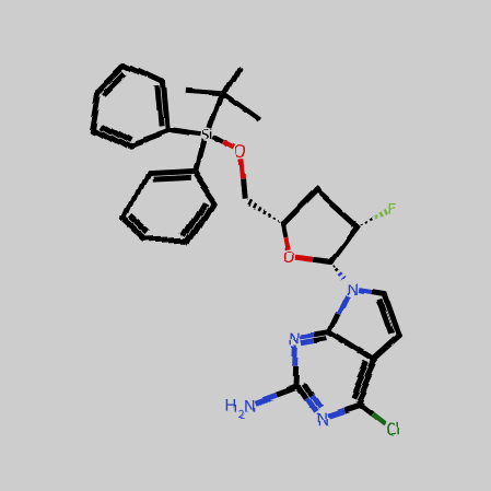 CC(C)(C)[Si](OC[C@@H]1C[C@H](F)[C@H](n2ccc3c(Cl)nc(N)nc32)O1)(c1ccccc1)c1ccccc1